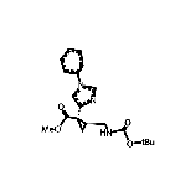 COC(=O)[C@]1(c2cn(-c3ccccc3)cn2)C[C@@H]1CNC(=O)OC(C)(C)C